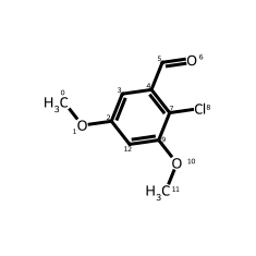 COc1cc(C=O)c(Cl)c(OC)c1